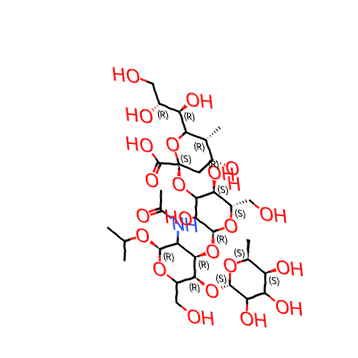 CC(=O)NC1[C@H](OC(C)C)OC(CO)[C@H](O[C@@H]2O[C@@H](C)[C@@H](O)C(O)C2O)[C@@H]1O[C@@H]1O[C@@H](CO)[C@H](O)C(O[C@]2(C(=O)O)C[C@@H](O)[C@@H](C)C([C@H](O)[C@H](O)CO)O2)C1O